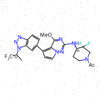 COc1nc(N[C@@H]2CCN(C(C)=O)CC2(F)F)nn2ccc(-c3ccc4nnn([C@@H](C)C(F)(F)F)c4c3)c12